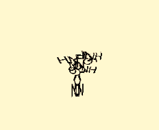 CCC(=O)NC1(C)CC(Nc2nc(OC)c3c(-c4ccc5nccnc5c4)c[nH]c3n2)C1